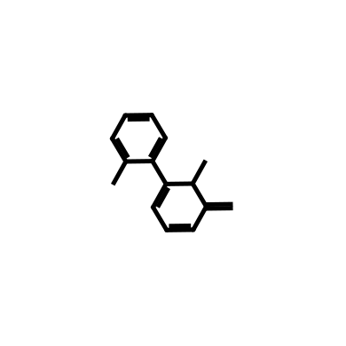 C=C1C=CC=C(c2ccccc2C)C1C